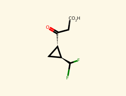 O=C(O)CC(=O)[C@H]1C[C@@H]1C(F)F